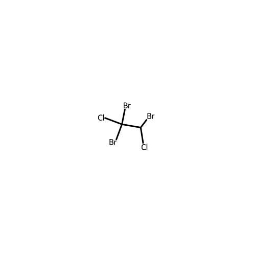 ClC(Br)C(Cl)(Br)Br